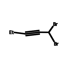 CCC#CC(Br)Br